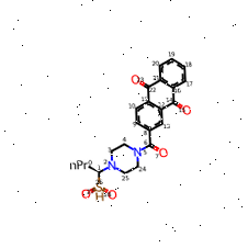 CCC[C@@H](N1CCN(C(=O)c2ccc3c(c2)C(=O)c2ccccc2C3=O)CC1)[SH](=O)=O